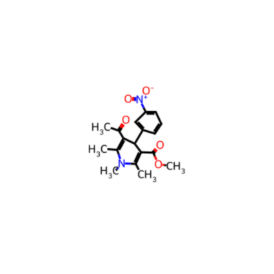 COC(=O)C1=C(C)N(C)C(C)=C(C(C)=O)C1c1cccc([N+](=O)[O-])c1